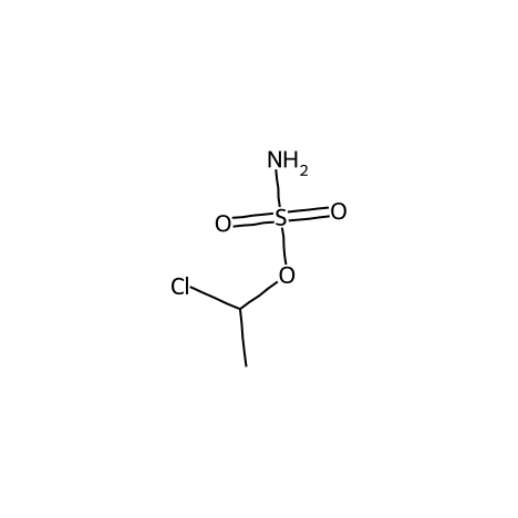 CC(Cl)OS(N)(=O)=O